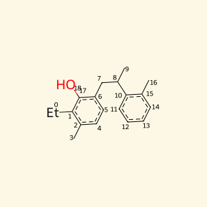 CCc1c(C)ccc(CC(C)c2ccccc2C)c1O